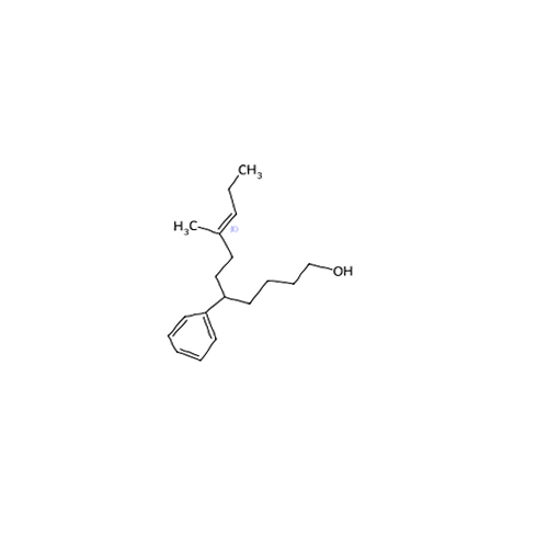 CC/C=C(\C)CCC(CCCCO)c1ccccc1